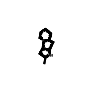 Cc1cc2c(cc3ccccn32)[nH]1